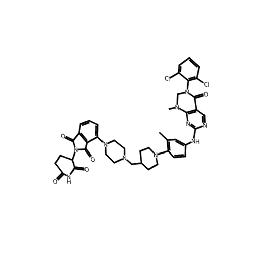 Cc1cc(Nc2ncc3c(n2)N(C)CN(c2c(Cl)cccc2Cl)C3=O)ccc1N1CCC(CN2CCN(c3cccc4c3C(=O)N(C3CCC(=O)NC3=O)C4=O)CC2)CC1